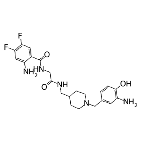 Nc1cc(CN2CCC(CNC(=O)CNC(=O)c3cc(F)c(F)cc3N)CC2)ccc1O